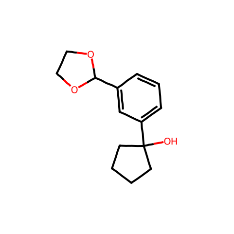 OC1(c2cccc(C3OCCO3)c2)CCCC1